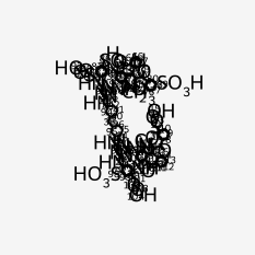 Cn1c(=O)c(C(=O)c2cccc(SOOO)c2)c2c3c(c(Nc4cc(Nc5nc(N)nc(NC6CCCC(CC7CCCC(Nc8nc(N)nc(Nc9cc(Nc%10ccc%11c%12c%10C(=O)c%10ccccc%10-c%12c(C(=O)c%10cccc(S(=O)(=O)O)c%10)c(=O)n%11C)c(S(=O)(=O)O)cc9SOOO)n8)C7)C6)n5)c(S(=O)(=O)O)cc4SOOO)ccc31)C(=O)c1ccccc1-2